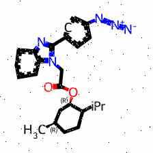 CC(C)C1CC[C@@H](C)C[C@H]1OC(=O)Cn1c(-c2ccc(N=[N+]=[N-])cc2)nc2ccccc21